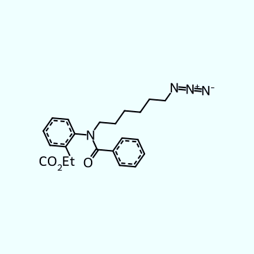 CCOC(=O)c1ccccc1N(CCCCCCN=[N+]=[N-])C(=O)c1ccccc1